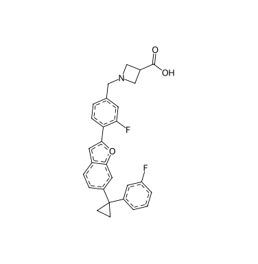 O=C(O)C1CN(Cc2ccc(-c3cc4ccc(C5(c6cccc(F)c6)CC5)cc4o3)c(F)c2)C1